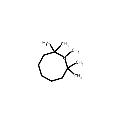 CN1C(C)(C)CCCCCC1(C)C